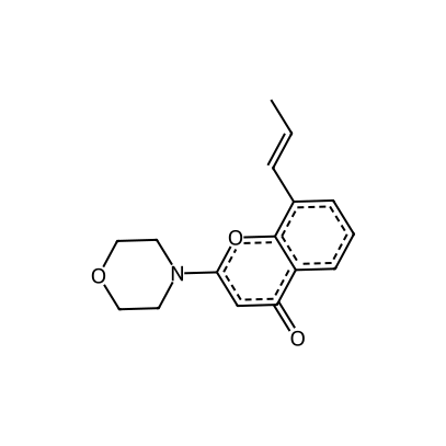 CC=Cc1cccc2c(=O)cc(N3CCOCC3)oc12